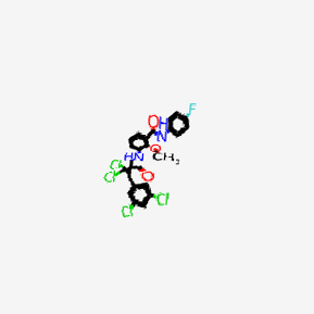 COc1c(NCC2(C=O)C(c3cc(Cl)cc(Cl)c3)C2(Cl)Cl)cccc1C(=O)Nc1ccc(F)cc1